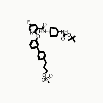 CC(C)(C)OC(=O)N[C@H]1CC[C@H](NC(=O)c2cc(F)cnc2Oc2cccc(-c3ccc(CCCOS(C)(=O)=O)cc3)c2)CC1